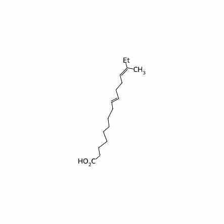 CC/C(C)=C/CC/C=C/CCCCCCCC(=O)O